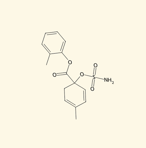 CC1=CCC(OS(N)(=O)=O)(C(=O)Oc2ccccc2C)C=C1